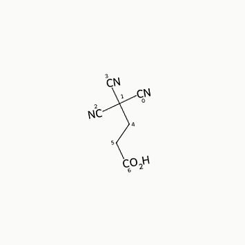 N#CC(C#N)(C#N)CCC(=O)O